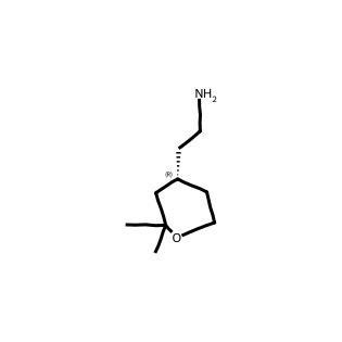 CC1(C)C[C@H](CCN)CCO1